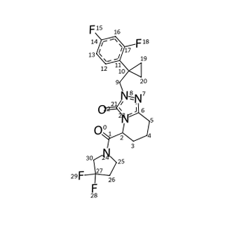 O=C(C1CCCc2nn(CC3(c4ccc(F)cc4F)CC3)c(=O)n21)N1CCC(F)(F)C1